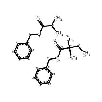 CC(C)C(=O)OCc1ccccc1.CCC(C)(C)C(=O)OCc1ccccc1